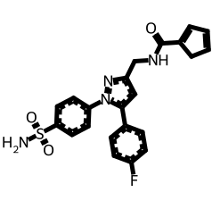 NS(=O)(=O)c1ccc(-n2nc(CNC(=O)C3=CC=CC3)cc2-c2ccc(F)cc2)cc1